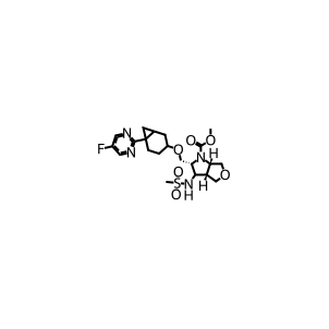 COC(=O)N1[C@@H]2COC[C@@H]2C(NS(C)(=O)=O)[C@@H]1COC1CCC2(c3ncc(F)cn3)CC2C1